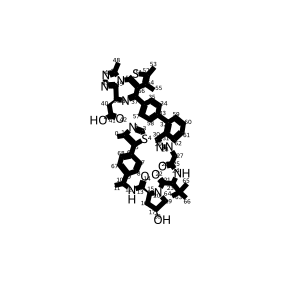 Cc1ncsc1-c1ccc(C(C)NC(=O)[C@@H]2C[C@@H](O)CN2C(=O)C(NC(=O)Cn2ncc3c(-c4ccc(C5=N[C@@H](CC(=O)O)c6nnc(C)n6-c6sc(C)c(C)c65)cc4)cccc32)C(C)(C)C)cc1